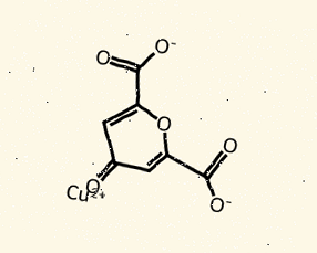 O=C([O-])c1cc(=O)cc(C(=O)[O-])o1.[Cu+2]